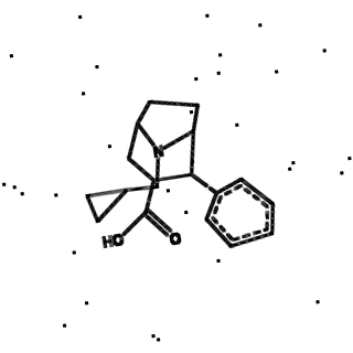 O=C(O)C1CC2CCC(C1c1ccccc1)N2CC1CC1